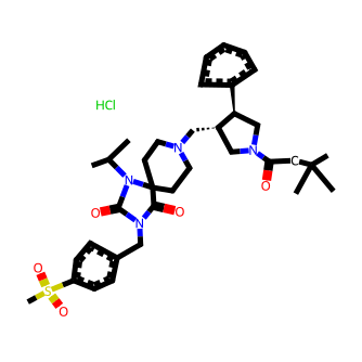 CC(C)N1C(=O)N(Cc2ccc(S(C)(=O)=O)cc2)C(=O)C12CCN(C[C@H]1CN(C(=O)CC(C)(C)C)C[C@@H]1c1ccccc1)CC2.Cl